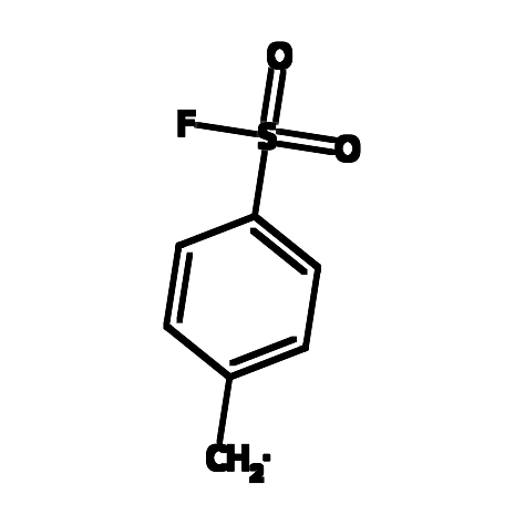 [CH2]c1ccc(S(=O)(=O)F)cc1